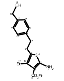 CCOC(=O)c1c(N)sc(CCc2ccc(CO)cc2)c1CC